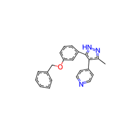 Cc1n[nH]c(-c2cccc(OCc3ccccc3)c2)c1-c1ccncc1